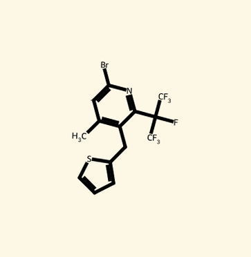 Cc1[c]c(Br)nc(C(F)(C(F)(F)F)C(F)(F)F)c1Cc1cccs1